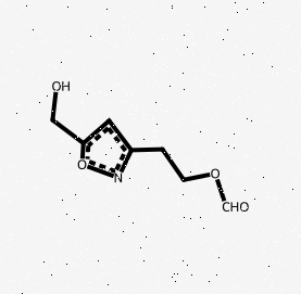 O=COCCc1cc(CO)on1